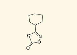 O=c1onc(C2CCCCC2)o1